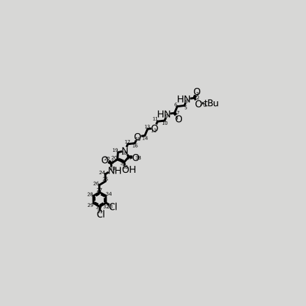 CC(C)(C)OC(=O)NCCC(=O)NCCOCCOCCN1CC(C(=O)NCCCc2ccc(Cl)c(Cl)c2)=C(O)C1=O